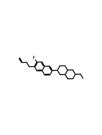 C=CCCc1cc2ccc(C3CCC4CC(CC)CCC4C3)cc2cc1F